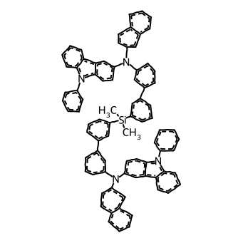 C[Si](C)(c1cccc(-c2cccc(N(c3ccc4ccccc4c3)c3ccc4c(c3)c3ccccc3n4-c3ccccc3)c2)c1)c1cccc(-c2cccc(N(c3ccc4ccccc4c3)c3ccc4c(c3)c3ccccc3n4-c3ccccc3)c2)c1